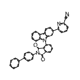 N#Cc1cccc(-c2ccc3c4ccccc4n(-c4cccc5c4C(=O)N(c4ccc(-c6ccccc6)cc4)C5=O)c3c2)n1